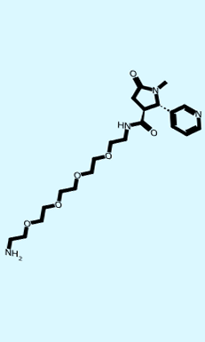 CN1C(=O)C[C@H](C(=O)NCCOCCOCCOCCOCCN)[C@H]1c1cccnc1